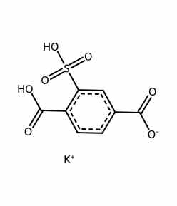 O=C([O-])c1ccc(C(=O)O)c(S(=O)(=O)O)c1.[K+]